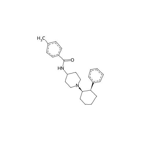 Cc1ccc(C(=O)NC2CCN([C@@H]3CCCC[C@@H]3c3ccccc3)CC2)cc1